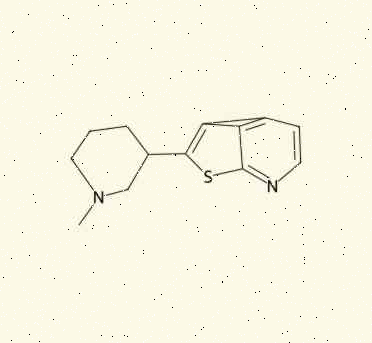 CN1CCCC(c2sc3nccc4c3c2-4)C1